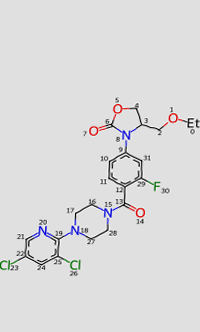 CCOCC1COC(=O)N1c1ccc(C(=O)N2CCN(c3ncc(Cl)cc3Cl)CC2)c(F)c1